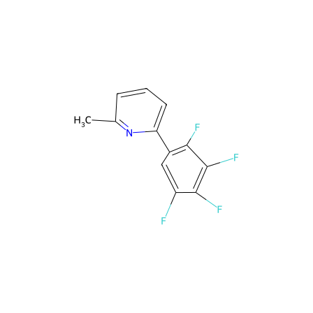 Cc1cccc(-c2cc(F)c(F)c(F)c2F)n1